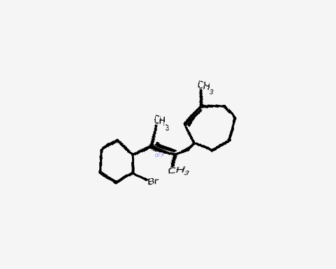 CC1=CC(/C(C)=C(\C)C2CCCCC2Br)CCCC1